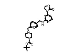 CC(C)(C)OC(=O)N1CCN(Cc2ccc(CNc3nccc(N4CCOC4=O)n3)cc2)CC1